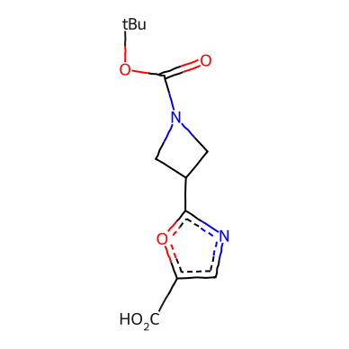 CC(C)(C)OC(=O)N1CC(c2ncc(C(=O)O)o2)C1